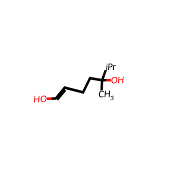 CC(C)C(C)(O)CCC=CO